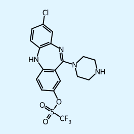 O=S(=O)(Oc1ccc2c(c1)C(N1CCNCC1)=Nc1cc(Cl)ccc1N2)C(F)(F)F